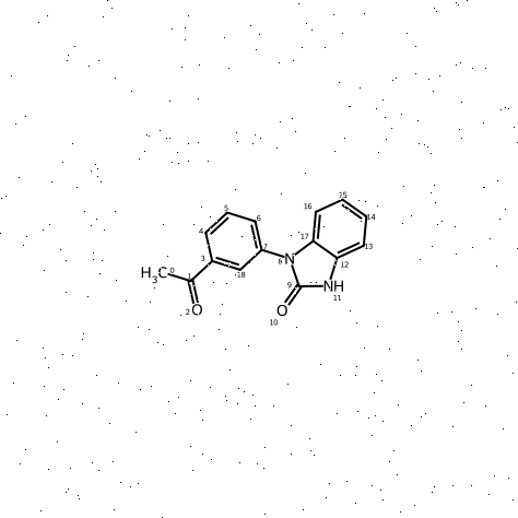 CC(=O)c1cccc(-n2c(=O)[nH]c3ccccc32)c1